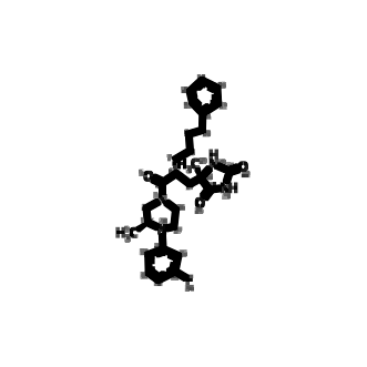 C[C@H]1CN(C(=O)[C@H](CCCCc2ccccc2)C[C@]2(C)NC(=O)NC2=O)CCN1c1cccc(F)c1